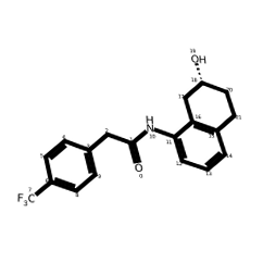 O=C(Cc1ccc(C(F)(F)F)cc1)Nc1cccc2c1C[C@H](O)CC2